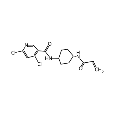 C=CC(=O)NC1CCC(NC(=O)c2cnc(Cl)cc2Cl)CC1